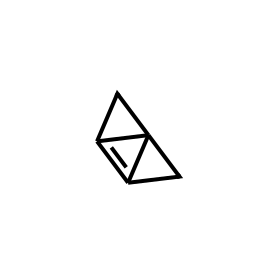 C1C2=C3CC123